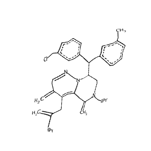 C=C1C=NN2C(=C1CC(=C)C(C)C)C(=C)N(C(C)C)CC2C(c1cccc(C)c1)c1cccc(Cl)c1